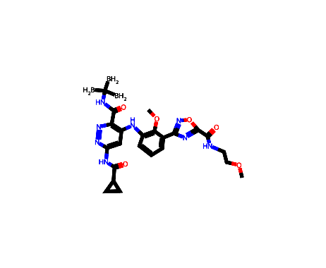 BC(B)(B)NC(=O)c1nnc(NC(=O)C2CC2)cc1Nc1cccc(-c2noc(C(=O)NCCOC)n2)c1OC